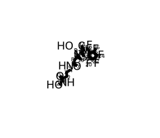 O=C(CCCNC(=O)Cc1csc(N(C(=O)O)C(F)c2cc(F)c(F)c(F)c2F)n1)NO